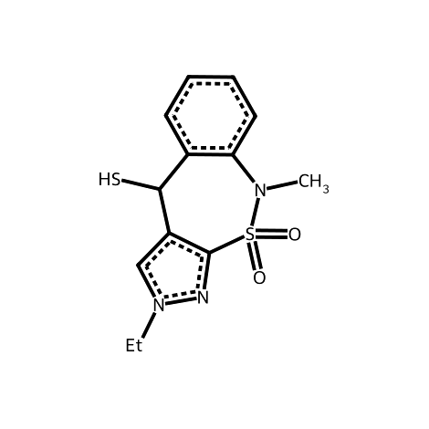 CCn1cc2c(n1)S(=O)(=O)N(C)c1ccccc1C2S